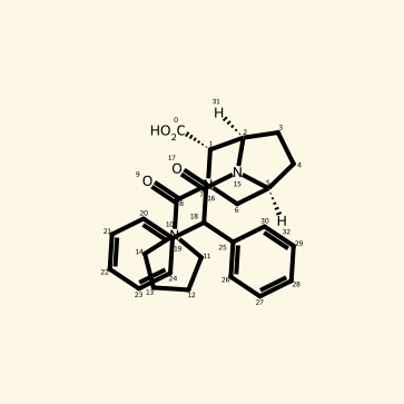 O=C(O)[C@@H]1[C@H]2CC[C@@H](CN1C(=O)N1CCCC1)N2C(=O)C(c1ccccc1)c1ccccc1